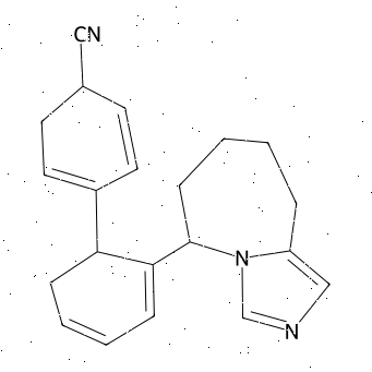 N#CC1C=CC(C2CC=CC=C2C2CCCCc3cncn32)=CC1